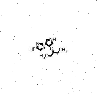 CCC(=O)CC.F.c1cc[nH]c1.c1cscn1